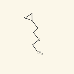 CCSCCC1CS1